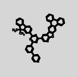 CC1(C)c2ccccc2-c2ccc(-c3nc(-c4cccc(-c5ccncc5)c4)nc(-c4cnc5oc6cc7c8ccccc8c8ccccc8c7cc6c5c4)n3)cc21